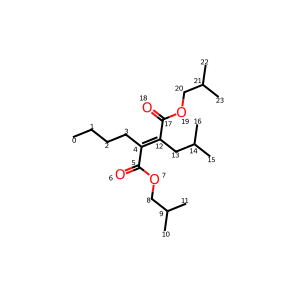 CCCCC(C(=O)OCC(C)C)=C(CC(C)C)C(=O)OCC(C)C